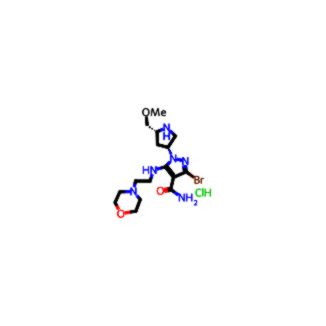 COC[C@H]1C[C@H](n2nc(Br)c(C(N)=O)c2NCCN2CCOCC2)CN1.Cl